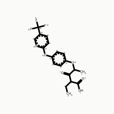 CCC(C(=O)O)C(=O)C(C)Oc1ccc(Oc2ccc(C(F)(F)F)cn2)cc1